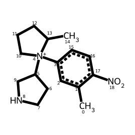 Cc1cc([N+]2(C3CCNC3)CCCC2C)ccc1[N+](=O)[O-]